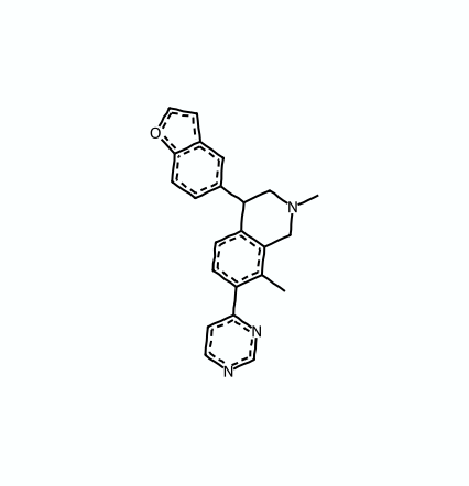 Cc1c(-c2ccncn2)ccc2c1CN(C)CC2c1ccc2occc2c1